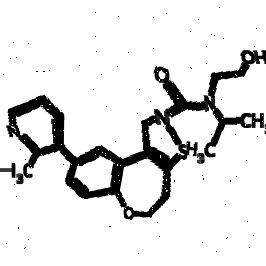 Cc1ncccc1-c1ccc2c(c1)C1=C(CCO2)SN(C(=O)N(CCO)C(C)C)C1